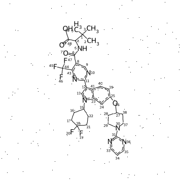 CC(C)(C)C(NC(=O)c1cnc(-c2cn(C3CCC(F)(F)CC3)c3cc(OC4CCN(c5ncccn5)CC4)ccc23)nc1C(F)(F)F)C(=O)O